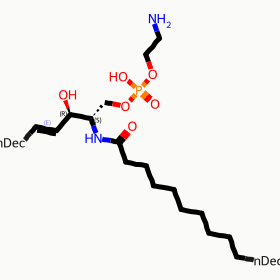 CCCCCCCCCC/C=C/[C@@H](O)[C@H](COP(=O)(O)OCCN)NC(=O)CCCCCCCCCCCCCCCCCCC